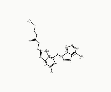 COCCC(=O)NCc1cc2cc(Cl)cc(Cn3cnc4c(N)ncnc43)c2[nH]1